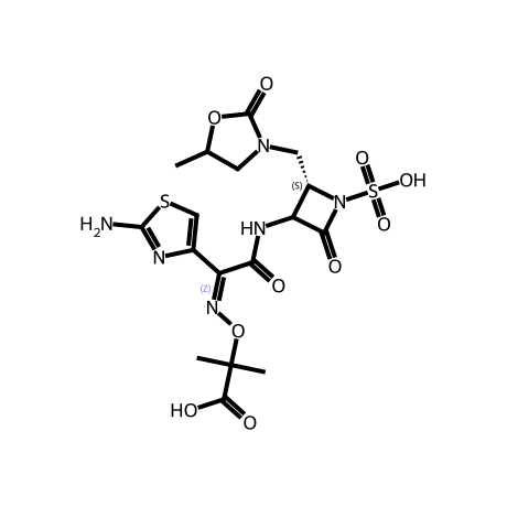 CC1CN(C[C@H]2C(NC(=O)/C(=N\OC(C)(C)C(=O)O)c3csc(N)n3)C(=O)N2S(=O)(=O)O)C(=O)O1